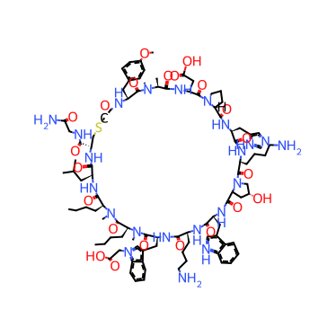 CCCC[C@H]1C(=O)N(C)[C@@H](CCCC)C(=O)N[C@@H](CC(C)C)C(=O)N[C@H](C(=O)NCC(N)=O)CSCC(=O)N[C@@H](Cc2ccc(OC)cc2)C(=O)N(C)[C@@H](C)C(=O)N[C@@H](CC(=O)O)C(=O)N2CCC[C@H]2C(=O)N[C@@H](Cc2cnc[nH]2)C(=O)N[C@@H](CCCCN)C(=O)N2C[C@H](O)CC2C(=O)N[C@@H](Cc2c[nH]c3ccccc23)C(=O)N[C@@H](CCCCN)C(=O)N[C@@H](Cc2cn(CC(=O)O)c3ccccc23)C(=O)N1C